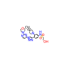 C[C@@H]1CN(c2nccc(-n3cc(-c4ccc(NS(=O)(=O)CCO)cc4N4CCC5(CC4)CC5)nn3)n2)CCO1